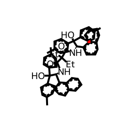 CCC(CC)(C(=O)N[C@@H](c1cccc2ccccc12)C(O)(c1ccc(C)cc1)c1ccc(C)cc1)C(=O)N[C@@H](c1cccc2ccccc12)C(O)(c1ccc(C)cc1)c1ccc(C)cc1